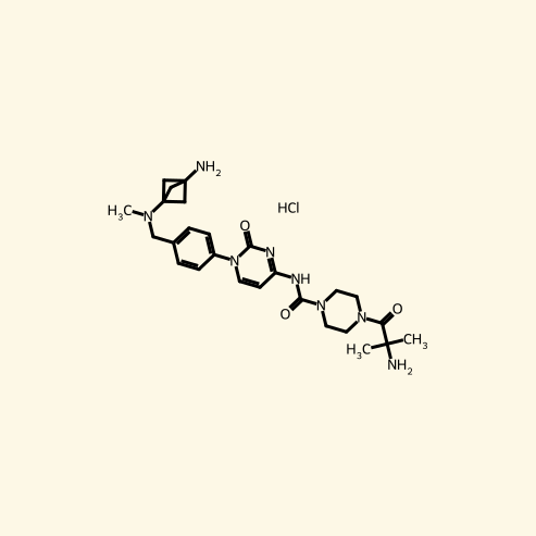 CN(Cc1ccc(-n2ccc(NC(=O)N3CCN(C(=O)C(C)(C)N)CC3)nc2=O)cc1)C12CC(N)(C1)C2.Cl